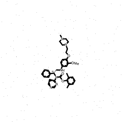 COc1cc(NC[C@@H](c2ccccc2)N(C(=O)Oc2c(C)cccc2C)c2ccncn2)ccc1OCCN1CCN(C)CC1